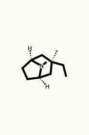 CC[C@@]1(C)C[C@H]2CC[C@@H](C1)N2C